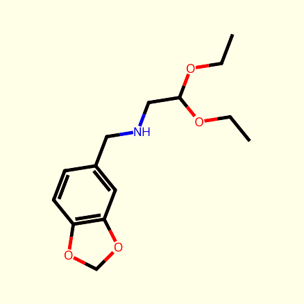 CCOC(CNCc1ccc2c(c1)OCO2)OCC